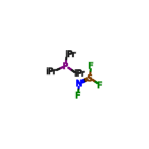 CC(C)P(C(C)C)C(C)C.FN=S(F)F